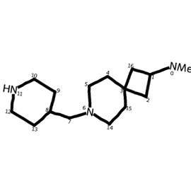 CNC1CC2(CCN(CC3CCNCC3)CC2)C1